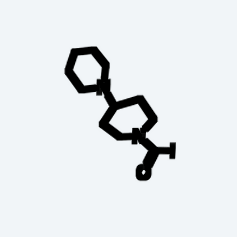 O=C(I)N1CCC(N2CCCCC2)CC1